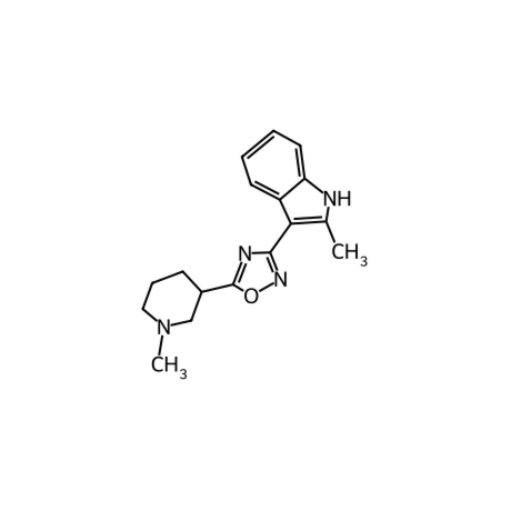 Cc1[nH]c2ccccc2c1-c1noc(C2CCCN(C)C2)n1